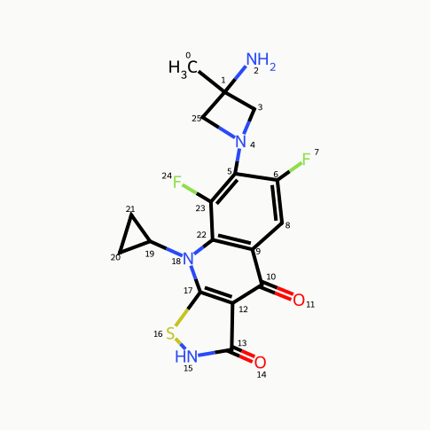 CC1(N)CN(c2c(F)cc3c(=O)c4c(=O)[nH]sc4n(C4CC4)c3c2F)C1